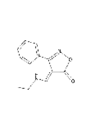 CCN/C=C1/C(=O)ON=C1c1ccccc1